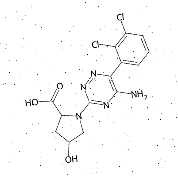 Nc1nc(N2CC(O)CC2C(=O)O)nnc1-c1cccc(Cl)c1Cl